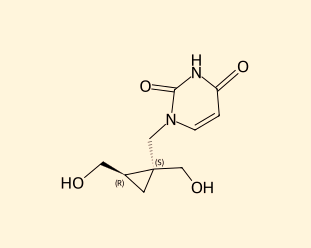 O=c1ccn(C[C@]2(CO)C[C@H]2CO)c(=O)[nH]1